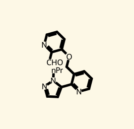 CCCn1nccc1-c1ncccc1COc1cccnc1C=O